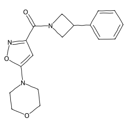 O=C(c1cc(N2CCOCC2)on1)N1CC(c2ccccc2)C1